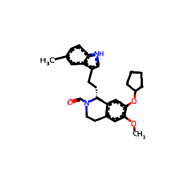 COc1cc2c(cc1OC1CCCC1)[C@@H](CCc1c[nH]c3ccc(C)cc13)N(C=O)CC2